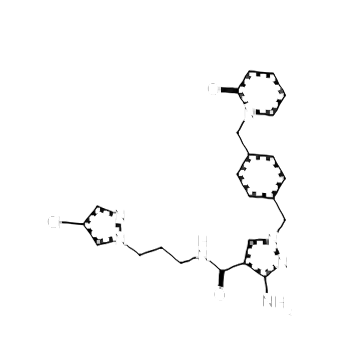 Nc1nn(Cc2ccc(Cn3ccccc3=O)cc2)cc1C(=O)NCCCn1cc(Cl)cn1